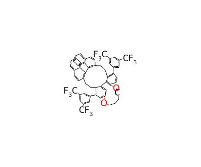 FC(F)(F)c1cc(-c2ccc3c4c2CCc2ccc5ccccc5c2-c2c(ccc5ccccc25)CCc2c(-c5cc(C(F)(F)F)cc(C(F)(F)F)c5)ccc(c2-4)OCCCCO3)cc(C(F)(F)F)c1